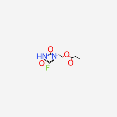 CCC(=O)OCCn1cc(F)c(=O)[nH]c1=O